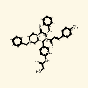 O=C(CO)Nc1ccc(CN(C(=O)/C=C/c2ccc(C(F)(F)F)cc2)[C@@H](Cc2ccccc2)C(=O)N2CCN(Cc3ccccc3)CC2)cn1